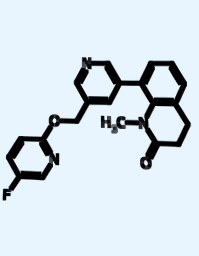 CN1C(=O)CCc2cccc(-c3cncc(COc4ccc(F)cn4)c3)c21